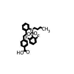 CCCCN(c1ccccc1CCc1ccc(C(=O)O)cc1)S(=O)(=O)c1c(F)cccc1F